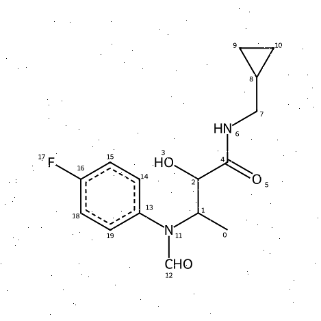 CC(C(O)C(=O)NCC1CC1)N(C=O)c1ccc(F)cc1